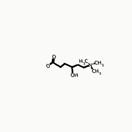 C[N+](C)(C)CCC(O)CCC(=O)[O-]